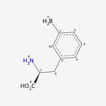 Bc1cccc(C[C@H](N)C(=O)O)c1